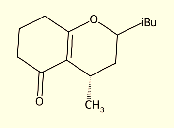 CCC(C)C1C[C@H](C)C2=C(CCCC2=O)O1